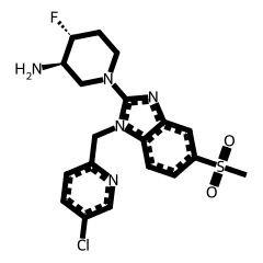 CS(=O)(=O)c1ccc2c(c1)nc(N1CC[C@@H](F)[C@H](N)C1)n2Cc1ccc(Cl)cn1